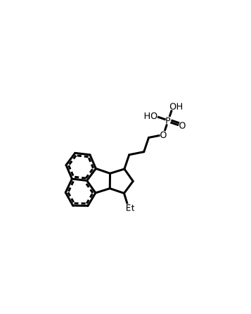 CCC1CC(CCCOP(=O)(O)O)C2c3cccc4cccc(c34)C12